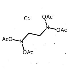 CC(=O)ON(CCN(OC(C)=O)OC(C)=O)OC(C)=O.[Co]